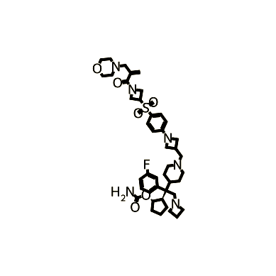 C=C(CN1CCOCC1)C(=O)N1CC(S(=O)(=O)c2ccc(N3CC(CN4CCC(C(CN5CCC5)(c5cccc(F)c5)[C@H]5CCC[C@@H]5OC(N)=O)CC4)C3)cc2)C1